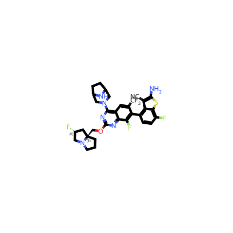 N#Cc1c(N)sc2c(F)ccc(-c3c(C(F)(F)F)cc4c(N5CC6CCC(C5)N6)nc(OC[C@@]56CCCN5C[C@H](F)C6)nc4c3F)c12